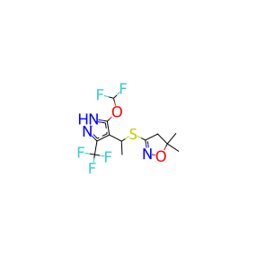 CC(SC1=NOC(C)(C)C1)c1c(C(F)(F)F)n[nH]c1OC(F)F